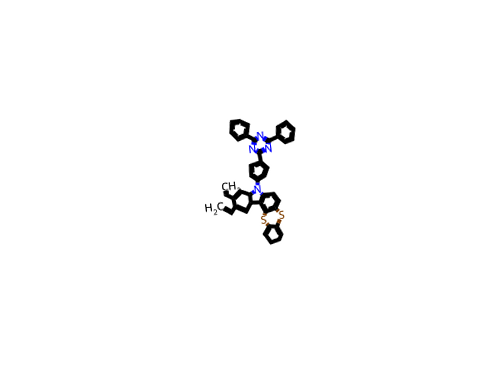 C=CC1=CC2c3c(ccc4c3SC3=CCCC=C3S4)N(c3ccc(-c4nc(-c5ccccc5)nc(-c5ccccc5)n4)cc3)C2C=C1C=C